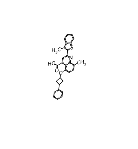 Cc1c(-c2cc(C(=O)O)c3c(OC4CC(c5ccccc5)C4)ccc(C)c3n2)sc2ccccc12